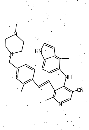 Cc1cc(CN2CCN(C)CC2)ccc1/C=C/c1c(C)ncc(C#N)c1Nc1ccc2[nH]ccc2c1C